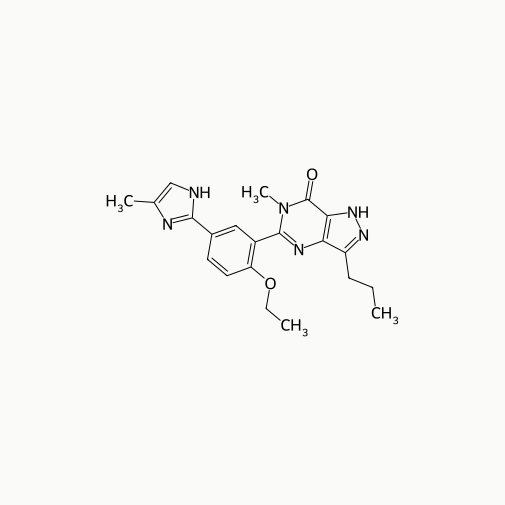 CCCc1n[nH]c2c(=O)n(C)c(-c3cc(-c4nc(C)c[nH]4)ccc3OCC)nc12